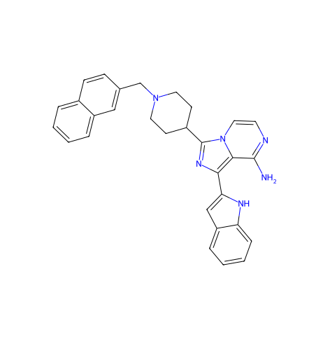 Nc1nccn2c(C3CCN(Cc4ccc5ccccc5c4)CC3)nc(-c3cc4ccccc4[nH]3)c12